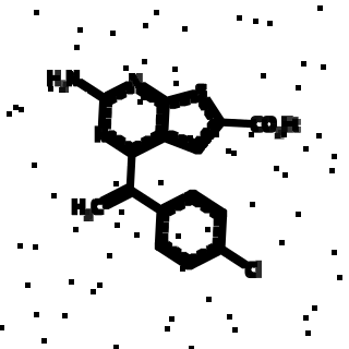 C=C(c1ccc(Cl)cc1)c1nc(N)nc2sc(C(=O)OCC)cc12